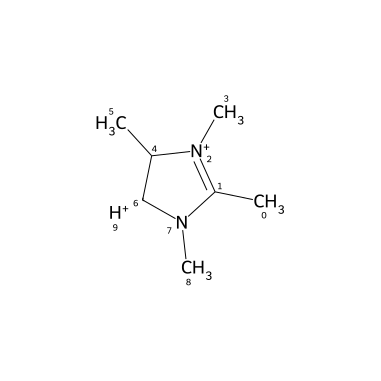 CC1=[N+](C)C(C)CN1C.[H+]